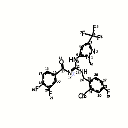 Cn1nc(C(F)(F)F)cc1N/C(=N\C(=O)c1ccc(F)c(F)c1)NCc1ccc(F)cc1Cl